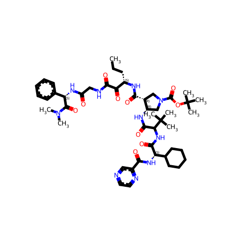 CCC[C@H](NC(=O)[C@@H]1CN(C(=O)OC(C)(C)C)C[C@@H]1NC(=O)C(NC(=O)[C@@H](NC(=O)c1cnccn1)C1CCCCC1)C(C)(C)C)C(=O)C(=O)NCC(=O)N[C@H](C(=O)N(C)C)c1ccccc1